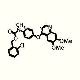 COc1cc2ncnc(Oc3ccc(N(C)C(=O)OCc4ccccc4Cl)cc3)c2cc1OC